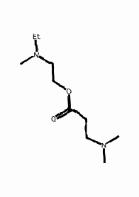 CCN(C)CCOC(=O)CCN(C)C